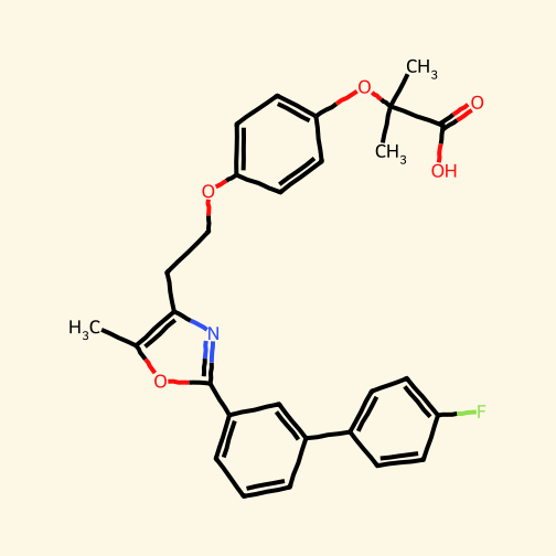 Cc1oc(-c2cccc(-c3ccc(F)cc3)c2)nc1CCOc1ccc(OC(C)(C)C(=O)O)cc1